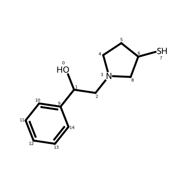 OC(CN1CCC(S)C1)c1ccccc1